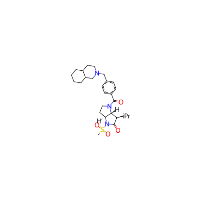 CC(C)[C@H]1C(=O)N(S(C)(=O)=O)[C@H]2CCN(C(=O)c3ccc(CN4CCC5CCCCC5C4)cc3)[C@H]12